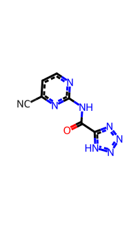 N#Cc1ccnc(NC(=O)c2nnn[nH]2)n1